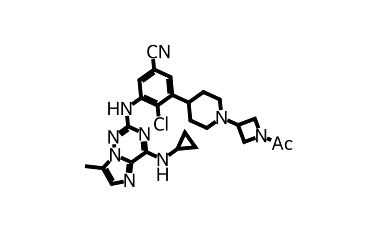 CC(=O)N1CC(N2CCC(c3cc(C#N)cc(Nc4nc(NC5CC5)c5ncc(C)n5n4)c3Cl)CC2)C1